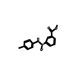 COC(=O)c1cccc([S+]([O-])Nc2ccc(C)cc2)c1